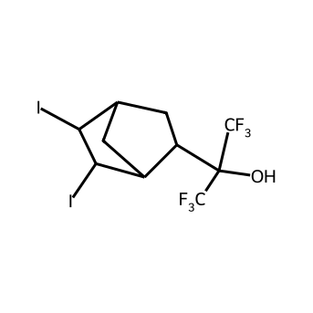 OC(C1CC2CC1C(I)C2I)(C(F)(F)F)C(F)(F)F